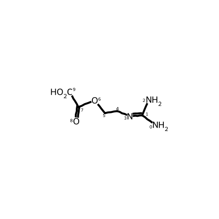 NC(N)=NCCOC(=O)C(=O)O